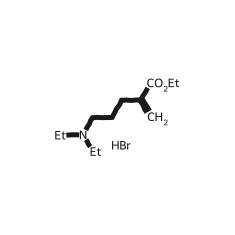 Br.C=C(CCCN(CC)CC)C(=O)OCC